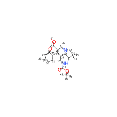 COC(=O)c1c(C)nc(CC(C)(C)C)c(CNC(=O)OC(C)(C)C)c1-c1ccc(C)cc1